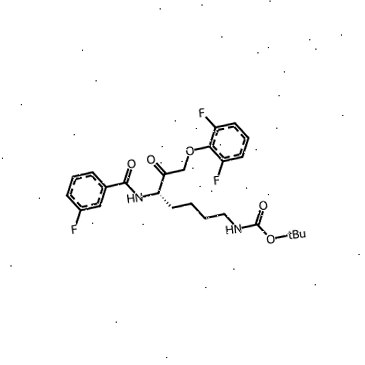 CC(C)(C)OC(=O)NCCCC[C@H](NC(=O)c1cccc(F)c1)C(=O)COc1c(F)cccc1F